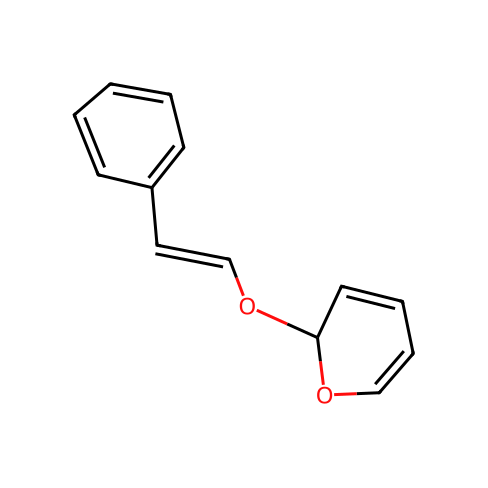 C1=COC(OC=Cc2ccccc2)C=C1